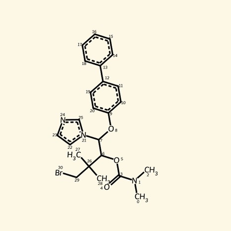 CN(C)C(=O)OC(C(Oc1ccc(-c2ccccc2)cc1)n1ccnc1)C(C)(C)CBr